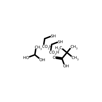 CC(C)(C)C(=O)O.CC(O)O.O=C(O)CS.O=C(O)CS